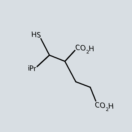 CC(C)C(S)C(CCC(=O)O)C(=O)O